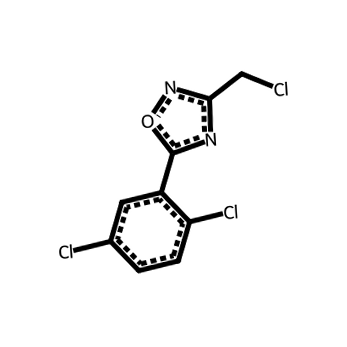 ClCc1noc(-c2cc(Cl)ccc2Cl)n1